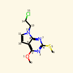 COc1nc(SC)nc2c1ccn2CCCl